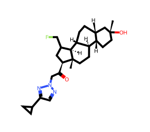 C[C@@]1(O)CC[C@H]2[C@H](CC[C@@H]3[C@@H]2CC[C@]2(C)[C@@H](C(=O)Cn4ncc(C5CC5)n4)CC(CF)[C@@H]32)C1